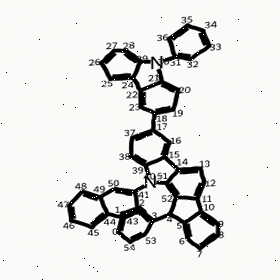 c1ccc(C2c3ccccc3-c3ccc4c5cc(-c6ccc7c(c6)c6ccccc6n7-c6ccccc6)ccc5n(-c5ccc6ccccc6c5)c4c32)cc1